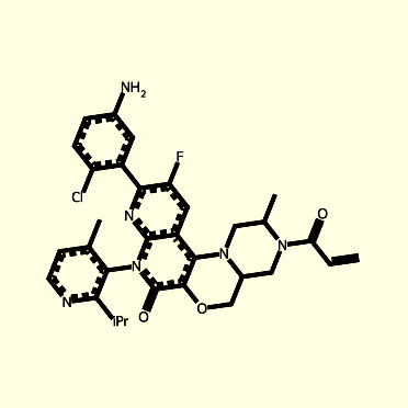 C=CC(=O)N1CC2COc3c(c4cc(F)c(-c5cc(N)ccc5Cl)nc4n(-c4c(C)ccnc4C(C)C)c3=O)N2CC1C